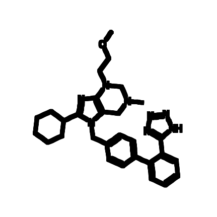 COCCN1CN(C)Cc2c1nc(C1CCCCC1)n2Cc1ccc(-c2ccccc2-c2nnn[nH]2)cc1